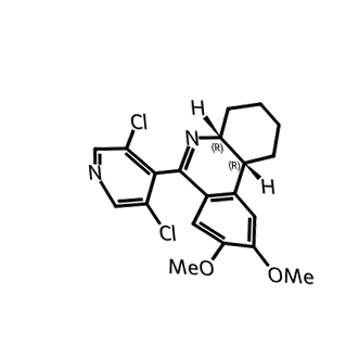 COc1cc2c(cc1OC)[C@H]1CCCC[C@H]1N=C2c1c(Cl)cncc1Cl